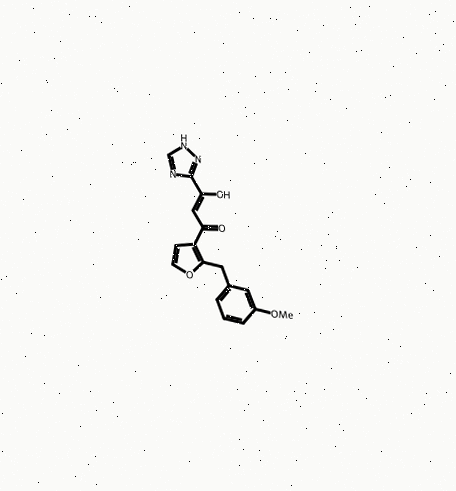 COc1cccc(Cc2occc2C(=O)C=C(O)c2nc[nH]n2)c1